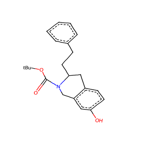 CC(C)(C)OC(=O)N1Cc2cc(O)ccc2CC1CCc1ccccc1